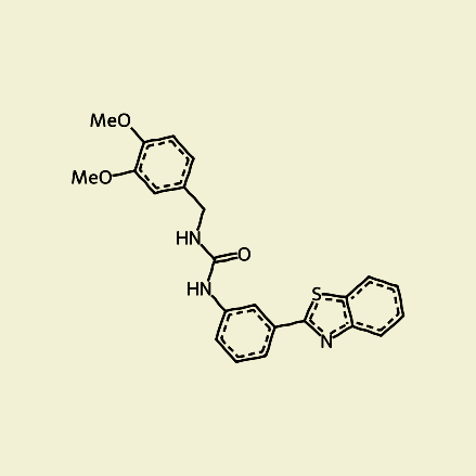 COc1ccc(CNC(=O)Nc2cccc(-c3nc4ccccc4s3)c2)cc1OC